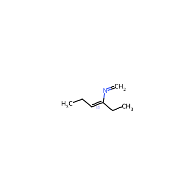 C=N/C(=C\CC)CC